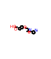 Cc1oc(-c2cccc(N(C)C)c2)nc1CCOc1ccc2c(c1)CC[C@H]2CC(=O)O